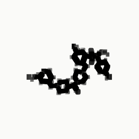 CN(c1ccc(Cl)cc1)S(=O)(=O)c1cc(F)ccc1CN1CCN(C(=O)C2CCN(Cc3ccnc(N)c3)CC2)CC1